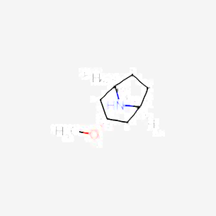 CO[C@@H]1C[C@H]2CC[C@@H](C1)N2